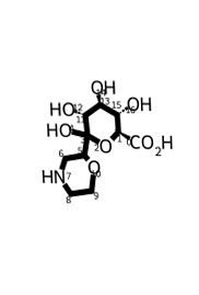 O=C(O)[C@H]1OC(O)(C2CNCCO2)[C@H](O)[C@@H](O)[C@@H]1O